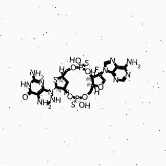 CNN(c1nc(N)[nH]c(=O)c1N)[C@@H]1S[C@@H]2COP(O)(=S)O[C@@H]3[C@@H](COP(O)(=S)O[C@@H]1C2)OC[C@]3(F)n1cnc2c(N)ncnc21